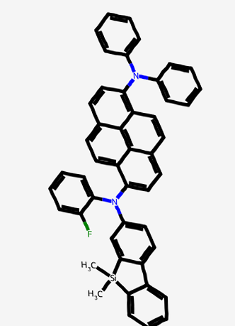 C[Si]1(C)c2ccccc2-c2ccc(N(c3ccccc3F)c3ccc4ccc5c(N(c6ccccc6)c6ccccc6)ccc6ccc3c4c65)cc21